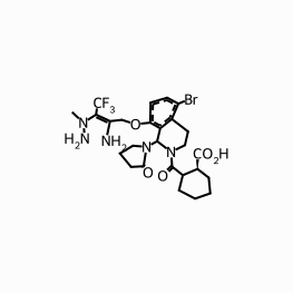 CN(N)/C(=C(\N)COc1ccc(Br)c2c1C(N1CCCC1=O)N(C(=O)C1CCCC[C@@H]1C(=O)O)CC2)C(F)(F)F